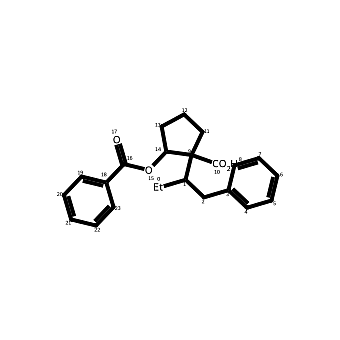 CCC(Cc1ccccc1)C1(C(=O)O)CCCC1OC(=O)c1ccccc1